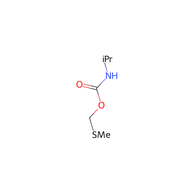 CSCOC(=O)NC(C)C